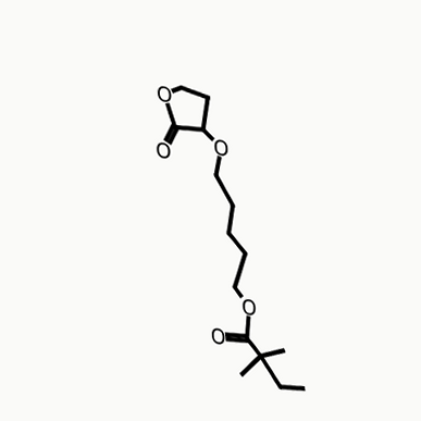 CCC(C)(C)C(=O)OCCCCCOC1CCOC1=O